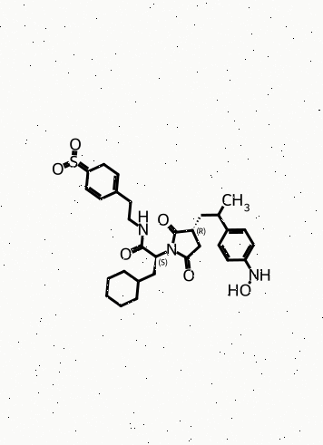 CC(C[C@@H]1CC(=O)N([C@@H](CC2CCCCC2)C(=O)NCCC2=CCC(=S(=O)=O)C=C2)C1=O)c1ccc(NO)cc1